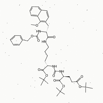 COc1c(C[C@@H](NC(=O)OCc2ccccc2)C(=O)NCCCC[C@H](NC(=O)N[C@@H](CCC(=O)OC(C)(C)C)C(=O)OC(C)(C)C)C(=O)OC(C)(C)C)ccc2ccccc12